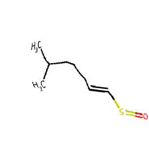 CC(C)CC=C[S+]=O